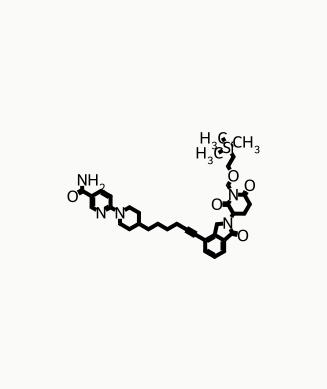 C[Si](C)(C)CCOCN1C(=O)CCC(N2Cc3c(C#CCCCCC4CCN(c5ccc(C(N)=O)cn5)CC4)cccc3C2=O)C1=O